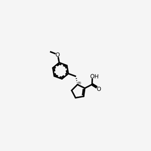 COc1cccc(C[C@H]2CCC=C2C(=O)O)c1